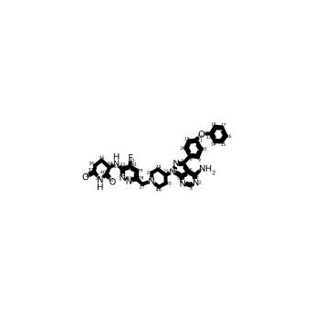 Nc1ncnc2c1c(-c1ccc(Oc3ccccc3)cc1)nn2C1CCN(Cc2cc(F)c(NC3CCC(=O)NC3=O)nn2)CC1